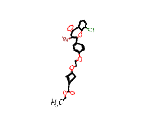 CCOC(=O)C1CC(OCCOc2ccc(-c3oc4c(Cl)cccc4c(=O)c3Br)cc2)C1